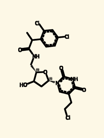 CC(C(=O)NC[C@@H]1O[C@H](n2cc(CCCl)c(=O)[nH]c2=O)CC1O)c1ccc(Cl)cc1Cl